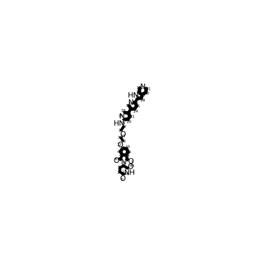 O=C1CCC(N2C(=O)c3ccc(OCCOCCNc4ccc(-c5ccc(-c6cc7ccncc7[nH]6)nc5)cn4)cc3C2=O)C(=O)N1